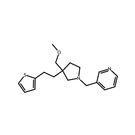 COCC1(CCc2cccs2)CCN(Cc2cccnc2)C1